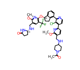 COc1nc(-c2ccnc(-c3cccc4c3CC[C@H]4Oc3nc(OC)c(CN[C@@H]4CCC(=O)N4)cc3C(F)(F)F)c2Cl)ccc1CNC1CCN(C(C)=O)CC1